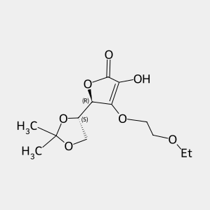 CCOCCOC1=C(O)C(=O)O[C@@H]1[C@@H]1COC(C)(C)O1